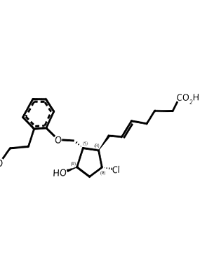 O=C(O)CCCC=CC[C@@H]1[C@@H](COc2ccccc2CCO)[C@H](O)C[C@H]1Cl